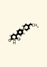 CCC1CCN(c2ccc(C3CCC(=O)NC3=O)cc2)CC1